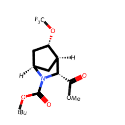 COC(=O)[C@H]1[C@H]2C[C@H](C[C@@H]2OC(F)(F)F)N1C(=O)OC(C)(C)C